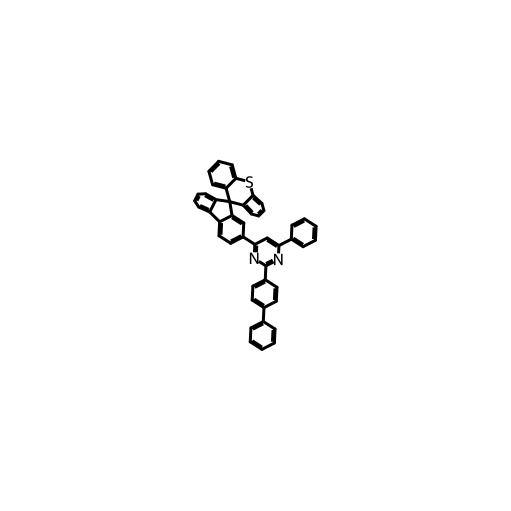 c1ccc(-c2ccc(-c3nc(-c4ccccc4)cc(-c4ccc5c(c4)C4(c6ccccc6Sc6ccccc64)c4ccccc4-5)n3)cc2)cc1